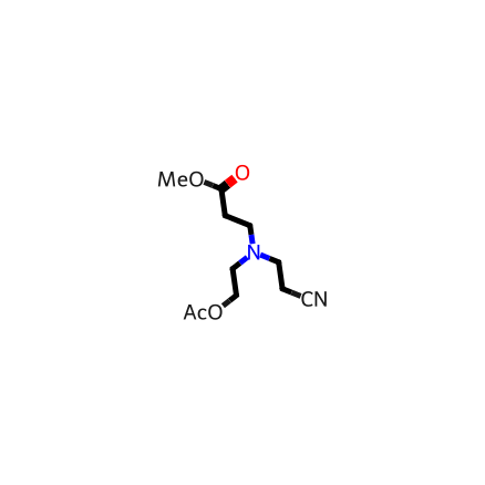 COC(=O)CCN(CCC#N)CCOC(C)=O